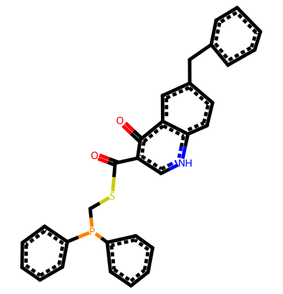 O=C(SCP(c1ccccc1)c1ccccc1)c1c[nH]c2ccc(Cc3ccccc3)cc2c1=O